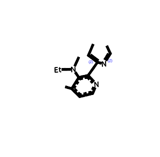 C/C=N\C(=C/C)c1nccc(C)c1N(C)CC